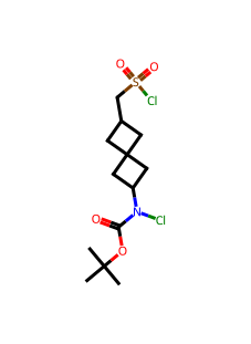 CC(C)(C)OC(=O)N(Cl)C1CC2(CC(CS(=O)(=O)Cl)C2)C1